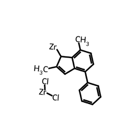 CC1=Cc2c(-c3ccccc3)ccc(C)c2[CH]1[Zr].[Cl][Zr][Cl]